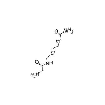 NCC(=O)NCOCCOCC(N)=O